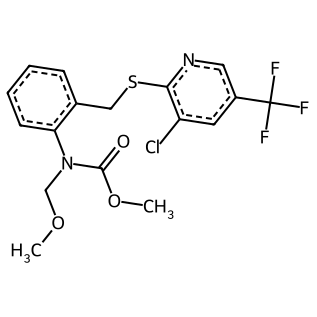 COCN(C(=O)OC)c1ccccc1CSc1ncc(C(F)(F)F)cc1Cl